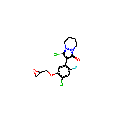 O=c1c(-c2cc(OCC3CO3)c(Cl)cc2F)c(Cl)n2n1CCCC2